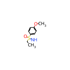 CCS(=N)(=O)c1ccc(OC)cc1